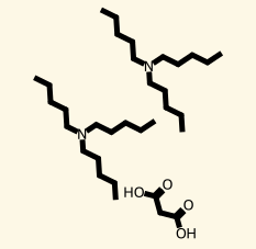 CCCCCN(CCCCC)CCCCC.CCCCCN(CCCCC)CCCCC.O=C(O)CC(=O)O